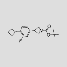 CC(C)(C)OC(=O)N1CC(c2ccc(C3CCC3)c(F)c2)C1